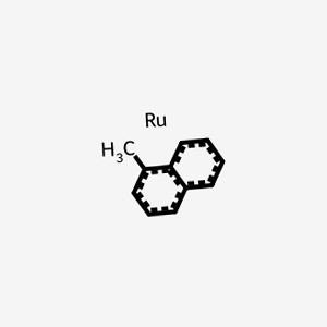 Cc1cccc2ccccc12.[Ru]